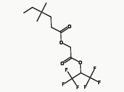 CCC(C)(C)CCC(=O)OCC(=O)OC(C(F)(F)F)C(F)(F)F